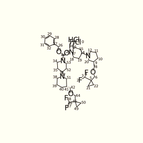 Cl.Cl.FC(F)C1(COC[C@@H]2CCCN(C3CCNCC3)C2)CC1.O=C(OCc1ccccc1)N1CCC(N2CCC[C@@H](COCC3(C(F)F)CC3)C2)CC1